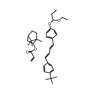 C=CC(=O)OC1CC2CCC1(C)C2(C)C.CCOC(CC)Oc1ccc(C=CC=Cc2ccc(C(C)(C)C)cc2)cc1